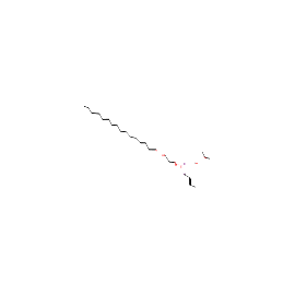 [CH2]/C=C/C=P(C)(OCCCOCCCCCCCCCCCCCCCC)OC(=O)OC(C)C